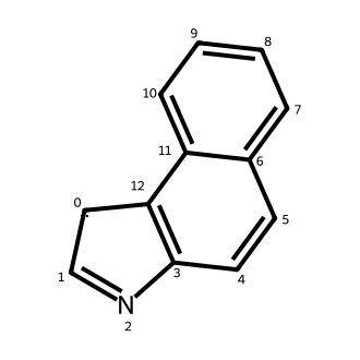 [C]1C=Nc2ccc3ccccc3c21